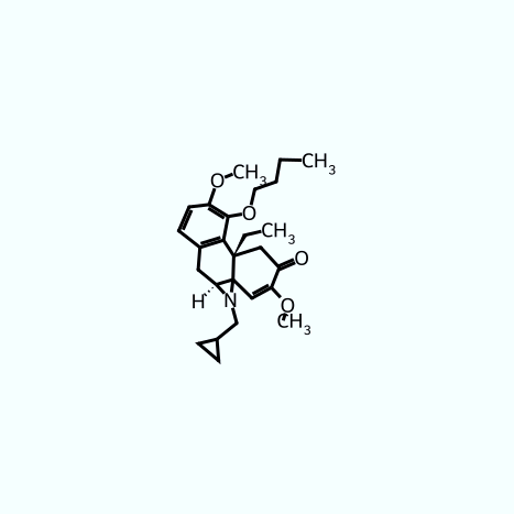 CCCCOc1c(OC)ccc2c1[C@]1(CC)CC(=O)C(OC)=CC13[C@H](C2)N3CC1CC1